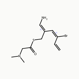 C=C/C(Br)=C\C(=C/N)CSC(=O)CN(C)C